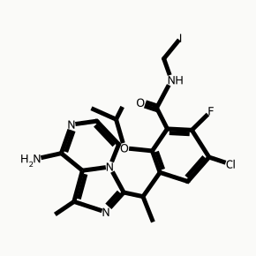 Cc1nc(C(C)c2cc(Cl)c(F)c(C(=O)NCI)c2OC(C)C)n2ccnc(N)c12